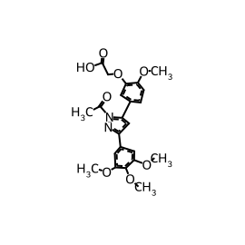 COc1ccc(-c2cc(-c3cc(OC)c(OC)c(OC)c3)nn2C(C)=O)cc1OCC(=O)O